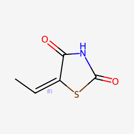 C/C=C1/SC(=O)NC1=O